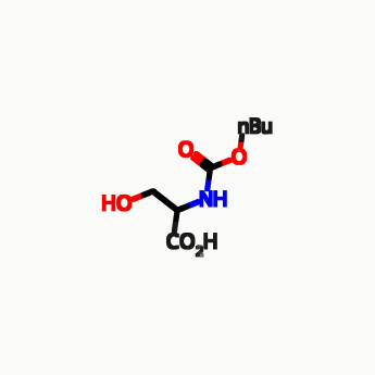 CCCCOC(=O)NC(CO)C(=O)O